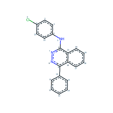 Clc1ccc(Nc2nnc(-c3ccccc3)c3ccccc23)cc1